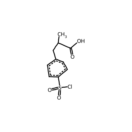 CC(Cc1ccc(S(=O)(=O)Cl)cc1)C(=O)O